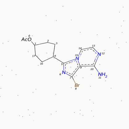 CC(=O)OC1CCC(c2nc(Br)c3c(N)nccn23)CC1